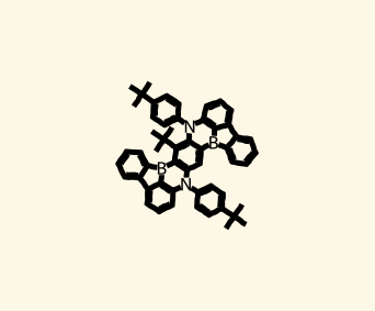 CC(C)(C)c1ccc(N2c3cccc4c3B(c3ccccc3-4)c3c2cc2c(c3C(C)(C)C)N(c3ccc(C(C)(C)C)cc3)c3cccc4c3B2c2ccccc2-4)cc1